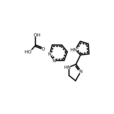 O=C(O)O.c1c[nH]c(C2=NCCN2)c1.c1ccnnc1